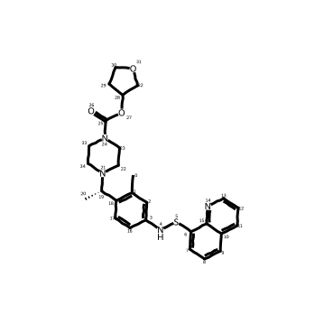 Cc1cc(NSc2cccc3cccnc23)ccc1[C@H](C)N1CCN(C(=O)OC2CCOC2)CC1